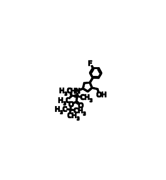 CC(C)[C@](C)(NC1CC(CO)C(c2cccc(F)c2)C1)C(=O)OC(C)(C)C